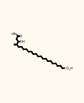 C=C(CCCCCCCCCCCCCCCCCCCC(=O)O)C(O)CC(=O)CCCC